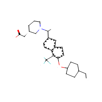 CCC1CCC(Oc2ccc3cc(C(C)N4CCC[C@H](CC(=O)O)C4)ccc3c2C(F)(F)F)CC1